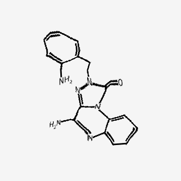 Nc1ccccc1Cn1nc2c(N)nc3ccccc3n2c1=O